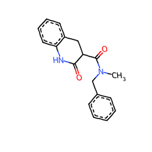 CN(Cc1ccccc1)C(=O)C1Cc2ccccc2NC1=O